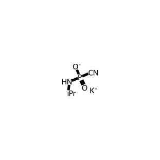 CC(C)NP(=O)([O-])C#N.[K+]